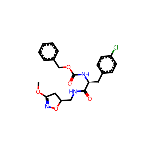 COC1=NOC(CNC(=O)[C@H](Cc2ccc(Cl)cc2)NC(=O)OCc2ccccc2)C1